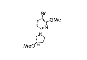 COc1nc(N2CC[C@@H](OC)C2)ccc1Br